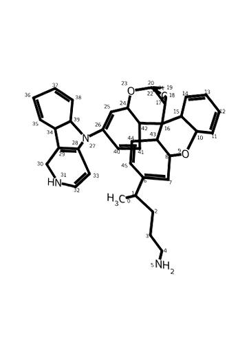 CC(CCCN)C1=CC2OC3C=CC=CC3C3(C4=CCCC=C4OC4C=C(N5C6=C(CNC=C6)C6C=CC=CC65)C=CC43)C2C=C1